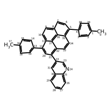 Cc1ccc(-c2ccc3ccc4c(-c5ccc(C)cc5)cc(-c5cnc6ccccc6c5)c5ccc2c3c45)cc1